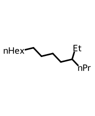 C[CH]CC(CC)CCCCCCCCCC